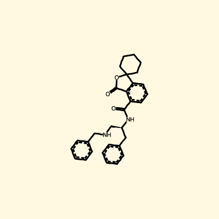 O=C(N[C@H](CNCc1ccccc1)Cc1ccccc1)c1cccc2c1C(=O)OC21CCCCC1